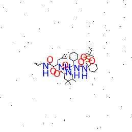 C=CCNC(=O)C(=O)C(CC1CC1)NC(=O)[C@@H]1CC(C)(C)C(C)CN1C(=O)[C@@H](NC(=O)NC1(CS(=O)(=O)C(C)(C)CC)CCCCC1)C1CCCCC1